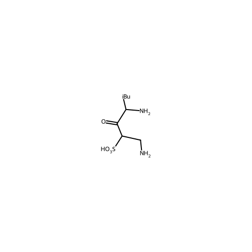 CCC(C)C(N)C(=O)C(CN)S(=O)(=O)O